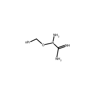 CCCCON(N)C(=N)N